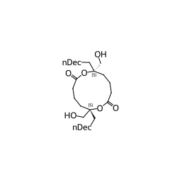 CCCCCCCCCCC[C@@]1(CO)CCCC(=O)O[C@@](CO)(CCCCCCCCCCC)CCCC(=O)O1